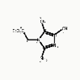 CCOC(=O)Cn1c(N)nc(C#N)c1C#N